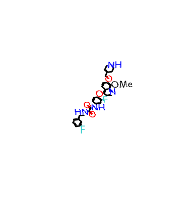 COc1c(OCC2CCNCC2)ccc2c(Oc3ccc(NC(=O)C(=O)NCCc4cccc(F)c4)cc3F)ccnc12